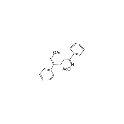 CC(=O)ON=C(CCC(=NOC(C)=O)c1ccccc1)c1ccccc1